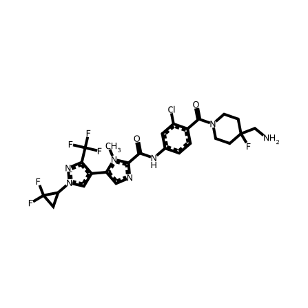 Cn1c(-c2cn(C3CC3(F)F)nc2C(F)(F)F)cnc1C(=O)Nc1ccc(C(=O)N2CCC(F)(CN)CC2)c(Cl)c1